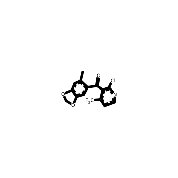 Cc1cc2c(cc1C(=O)c1c(C(F)(F)F)ccnc1Cl)OCO2